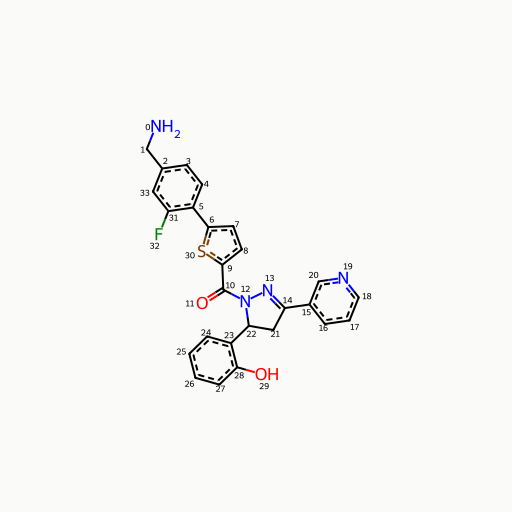 NCc1ccc(-c2ccc(C(=O)N3N=C(c4cccnc4)CC3c3ccccc3O)s2)c(F)c1